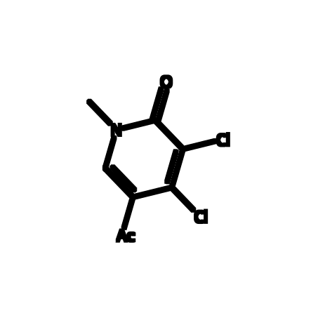 CC(=O)c1cn(C)c(=O)c(Cl)c1Cl